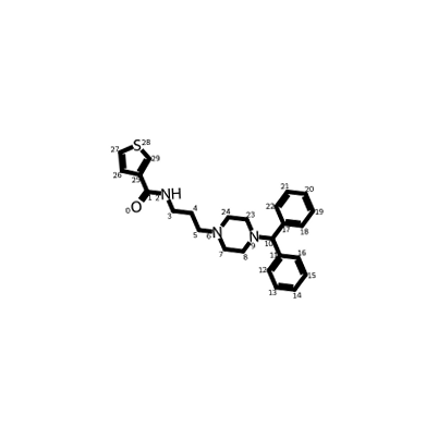 O=C(NCCCN1CCN(C(c2ccccc2)c2ccccc2)CC1)c1ccsc1